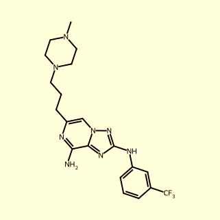 CN1CCN(CCCc2cn3nc(Nc4cccc(C(F)(F)F)c4)nc3c(N)n2)CC1